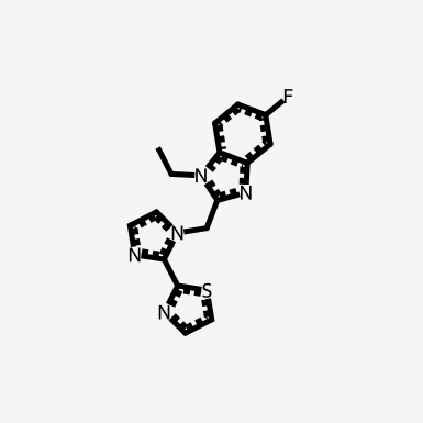 CCn1c(Cn2ccnc2-c2nccs2)nc2cc(F)ccc21